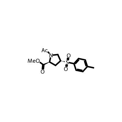 COC(=O)[C@@H]1C[C@@H](S(=O)(=O)c2ccc(C)cc2)CN1C(C)=O